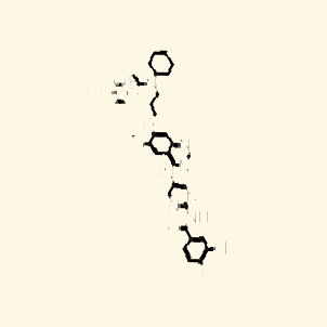 COc1cc2c(Nc3cnc(NC(=O)c4ccc(F)c(Cl)c4)nc3)ncnc2cc1OCCCN(C1CCCCC1)C(C)OP(=O)(O)O